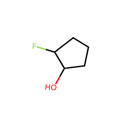 OC1CCC[C]1F